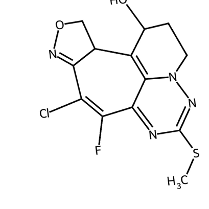 CSC1=NN2CCC(O)C3=C2C(=N1)C(F)=C(Cl)C1=NOCC13